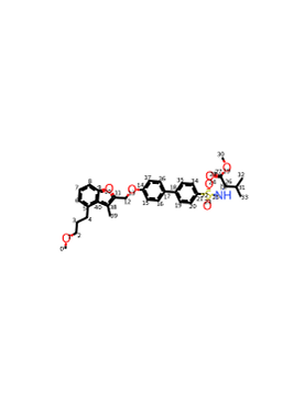 COCCCc1cccc2oc(COc3ccc(-c4ccc(S(=O)(=O)N[C@H](C(=O)OC)C(C)C)cc4)cc3)c(C)c12